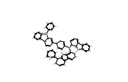 C1=CC(N(C2=CCC(C3=CC4C(C=C3)c3ccccc3N4c3ccccc3)C=C2)C2=c3oc4c(c3=CCC2)C=CCC4c2ccccc2)C2Sc3ccccc3C2=C1